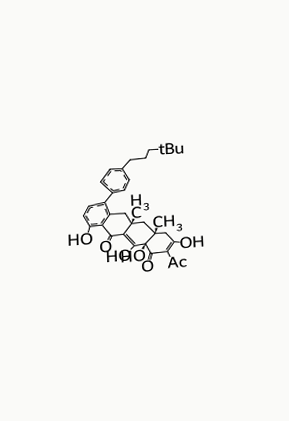 CC(=O)C1=C(O)C[C@@]2(C)C[C@@]3(C)Cc4c(-c5ccc(CCCC(C)(C)C)cc5)ccc(O)c4C(=O)C3=C(O)[C@@]2(O)C1=O